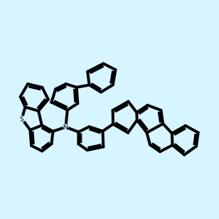 c1ccc(-c2cccc(N(c3cccc(-c4ccc5ccc6c7ccccc7ccc6c5c4)c3)c3cccc4sc5ccccc5c34)c2)cc1